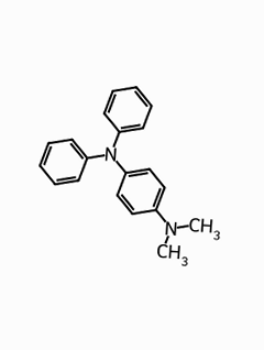 CN(C)c1ccc(N(c2ccccc2)c2ccccc2)cc1